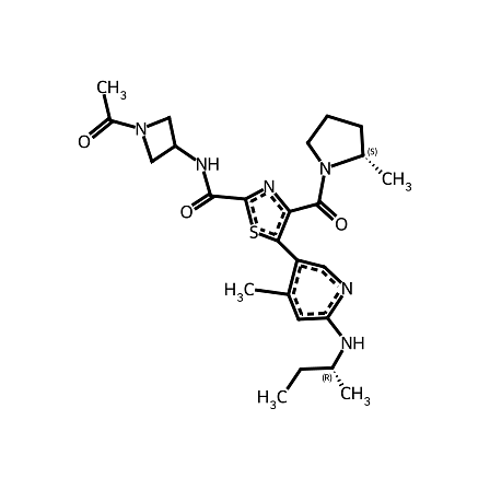 CC[C@@H](C)Nc1cc(C)c(-c2sc(C(=O)NC3CN(C(C)=O)C3)nc2C(=O)N2CCC[C@@H]2C)cn1